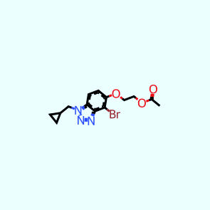 CC(=O)OCCOc1ccc2c(nnn2CC2CC2)c1Br